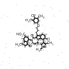 Cc1cc(OCCCc2c3n(c4c(-c5c(C)nn(C)c5C)c(Cl)ccc24)CCCN(c2cc(C(=O)O)cc4c2c(Br)cn4C)C3=O)cc(C)c1Cl